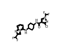 O=C(NC1CCC(Nc2cccc3nc(C(F)F)cn23)CC1)c1cn(C(F)F)nc1Cl